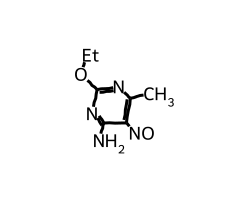 CCOc1nc(C)c(N=O)c(N)n1